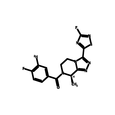 [2H]c1cc(C(=O)N2CCn3c(-c4nc(F)ns4)nnc3[C@H]2C)ccc1F